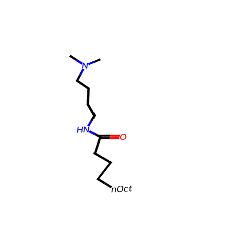 CCCCCCCCCCCC(=O)NCCCCN(C)C